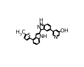 Cc1ccc(-c2cccc3[nH]c(-c4n[nH]c5ccc(-c6cncc(O)c6)cc45)cc23)s1